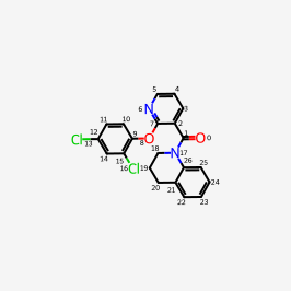 O=C(c1cccnc1Oc1ccc(Cl)cc1Cl)N1CCCc2ccccc21